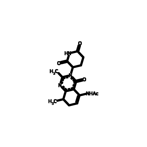 CC(=O)NC1=CCC(C)c2nc(C)n(C3CCC(=O)NC3=O)c(=O)c21